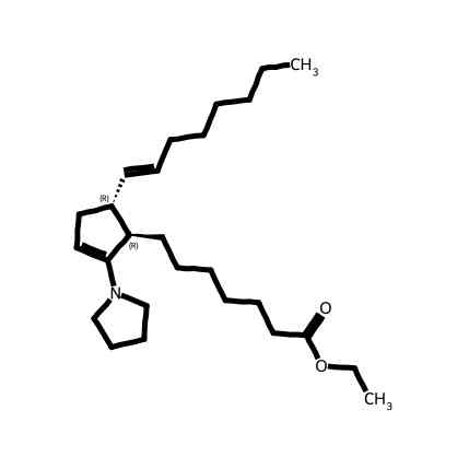 CCCCCCC=C[C@H]1CC=C(N2CCCC2)[C@@H]1CCCCCCC(=O)OCC